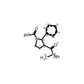 CC(C)C(=O)N1CCC(C(=O)N(C)C(C)C)C1c1ccccc1